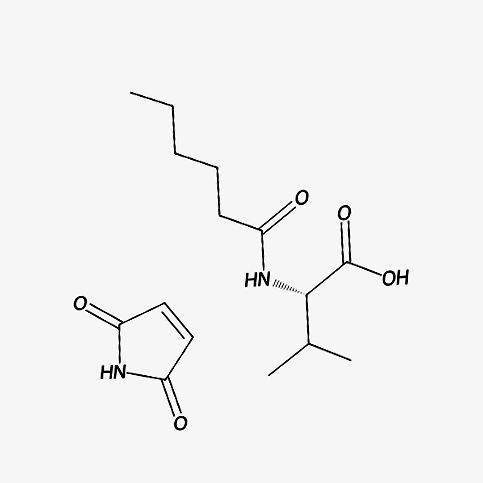 CCCCCC(=O)N[C@H](C(=O)O)C(C)C.O=C1C=CC(=O)N1